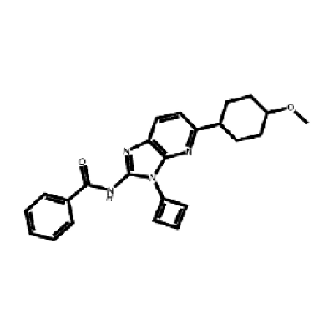 COC1CCC(c2ccc3nc(NC(=O)c4ccccc4)n(C4=CC=C4)c3n2)CC1